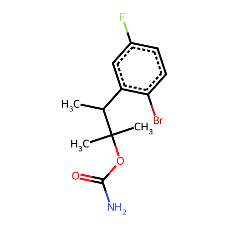 CC(c1cc(F)ccc1Br)C(C)(C)OC(N)=O